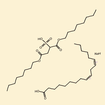 CCCCC/C=C\C/C=C\CCCCCCCC(=O)O.CCCCCCCCOC(=O)CC(C(=O)OCCCCCCCC)S(=O)(=O)O.[NaH]